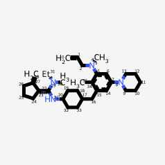 C=CCN(C)c1cc(N2CCCCC2)cc(CC2CCC(N/C(=C3\CCCC3=C)N(C)CC)CC2)c1C